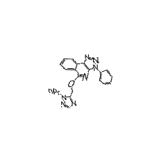 CCCn1ncnc1COc1nc2c(nnn2-c2ccccc2)c2ccccc12